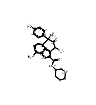 Nc1ccc2c3c(c(C(=O)NC4CCCNC4)sc13)C(N)C(=O)C2(N)c1ccc(O)cc1